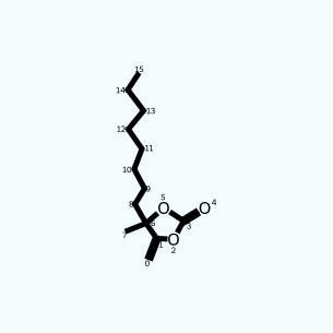 C=C1OC(=O)OC1(C)CCCCCCCC